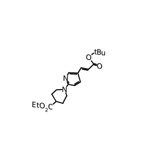 CCOC(=O)C1CCN(c2ccc(C=CC(=O)OC(C)(C)C)cn2)CC1